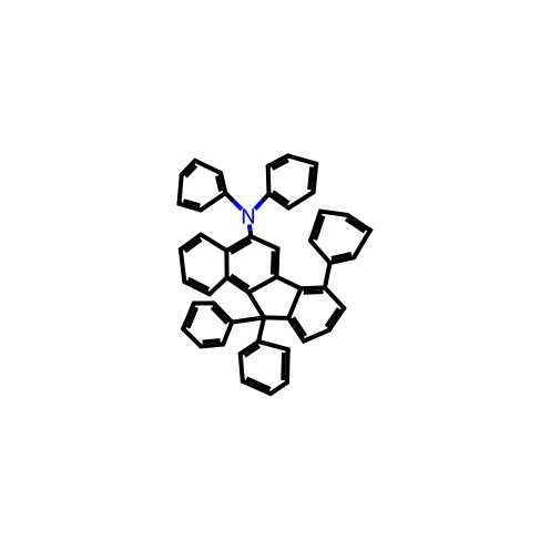 c1ccc(-c2cccc3c2-c2cc(N(c4ccccc4)c4ccccc4)c4ccccc4c2C3(c2ccccc2)c2ccccc2)cc1